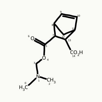 CN(C)COC(=O)C1C2C=CC(C2)C1C(=O)O